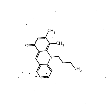 Cc1cc(=O)c2cc3ccccc3n(CCCN)c-2c1C